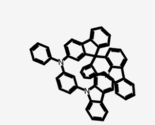 c1ccc(N(c2cccc(-n3c4ccccc4c4ccccc43)c2)c2ccc3c(c2)C2(c4ccccc4-3)c3ccccc3-n3c4ccccc4c4cccc2c43)cc1